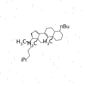 CCCCC1CCC[C@]2(C)C3=C(CCC12)C1=CC[C@H]([C@H](C)CCCC(C)C)[C@@]1(C)CC3